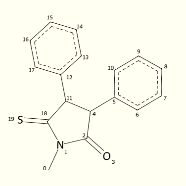 CN1C(=O)C(c2ccccc2)C(c2ccccc2)C1=S